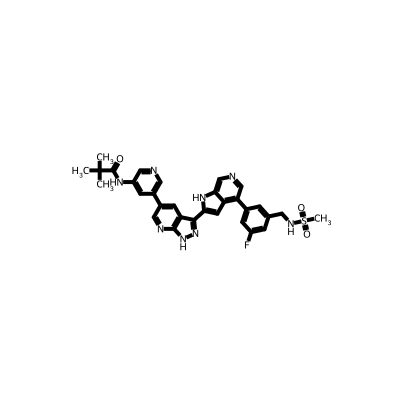 CC(C)(C)C(=O)Nc1cncc(-c2cnc3[nH]nc(-c4cc5c(-c6cc(F)cc(CNS(C)(=O)=O)c6)cncc5[nH]4)c3c2)c1